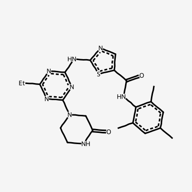 CCc1nc(Nc2ncc(C(=O)Nc3c(C)cc(C)cc3C)s2)nc(N2CCNC(=O)C2)n1